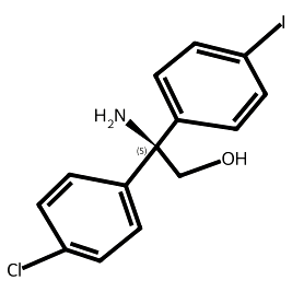 N[C@@](CO)(c1ccc(Cl)cc1)c1ccc(I)cc1